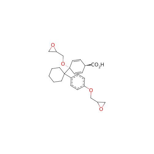 O=C(O)[C@H]1C=C[C@@](OCC2CO2)(C2(c3ccc(OCC4CO4)cc3)CCCCC2)C=C1